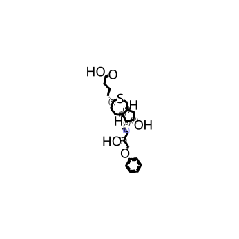 O=C(O)CCC[C@H]1CC[C@H]2[C@@H](CS1)C[C@@H](O)[C@@H]2/C=C/[C@@H](O)COc1ccccc1